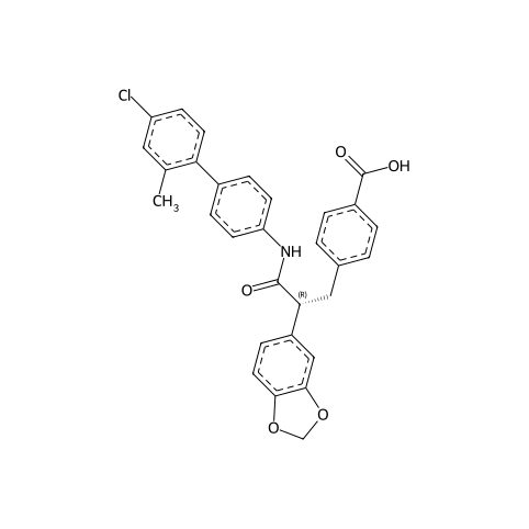 Cc1cc(Cl)ccc1-c1ccc(NC(=O)[C@H](Cc2ccc(C(=O)O)cc2)c2ccc3c(c2)OCO3)cc1